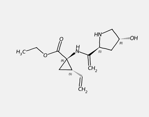 C=C[C@@H]1C[C@]1(NC(=C)[C@@H]1C[C@@H](O)CN1)C(=O)OCC